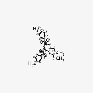 CCCCCN(SN(CCCCC)S(=O)(=O)c1ccc(C)cc1)S(=O)(=O)c1ccc(C)cc1